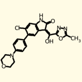 Cc1nnc(C(O)=C2C(=O)Nc3cc(Cl)c(-c4ccc(N5CCOCC5)cc4)cc32)o1